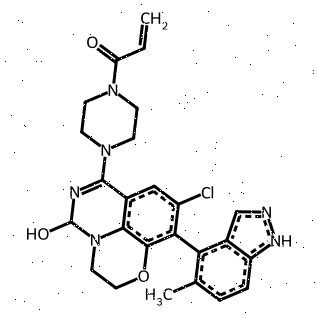 C=CC(=O)N1CCN(C2=NC(O)N3CCOc4c(-c5c(C)ccc6[nH]ncc56)c(Cl)cc2c43)CC1